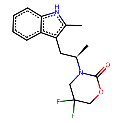 Cc1[nH]c2ccccc2c1C[C@@H](C)N1CC(F)(F)COC1=O